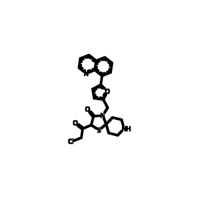 O=C(CCl)C1SC2(CCNCC2)N(Cc2ccc(-c3cccc4cccnc34)o2)C1=O